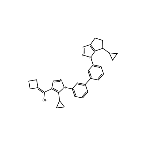 OC(=C1CCC1)c1cnn(-c2cccc(-c3cccc(-n4ncc5c4C(C4CC4)CC5)c3)c2)c1C1CC1